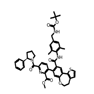 COC(=O)c1nc(C(=O)N2CCC[C@@H]2c2ccccc2)ccc1-c1cc2c(cc1C(=O)Nc1c(C)cc(CNC(=O)OC(C)(C)C)cc1C)-c1sccc1CCO2